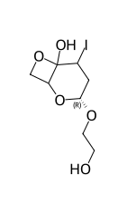 OCCO[C@H]1CC(I)C2(O)OCC2O1